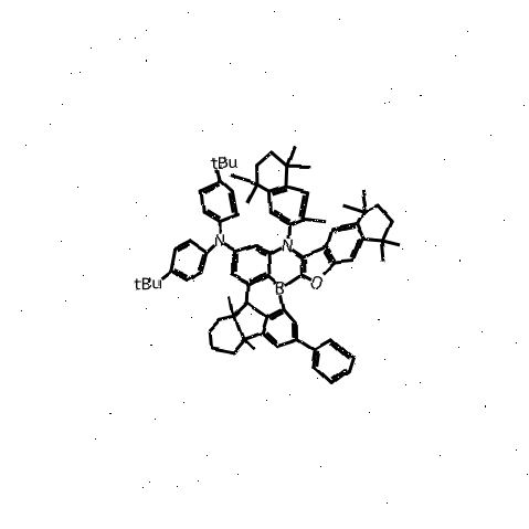 Cc1cc2c(cc1N1c3cc(N(c4ccc(C(C)(C)C)cc4)c4ccc(C(C)(C)C)cc4)cc4c3B(c3cc(-c5ccccc5)cc5c3C4C3(C)CCCCC53C)c3oc4cc5c(cc4c31)C(C)(C)CCC5(C)C)C(C)(C)CCC2(C)C